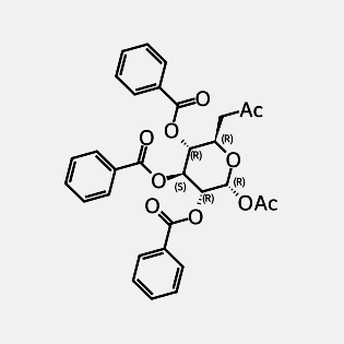 CC(=O)C[C@H]1O[C@H](OC(C)=O)[C@H](OC(=O)c2ccccc2)[C@@H](OC(=O)c2ccccc2)[C@@H]1OC(=O)c1ccccc1